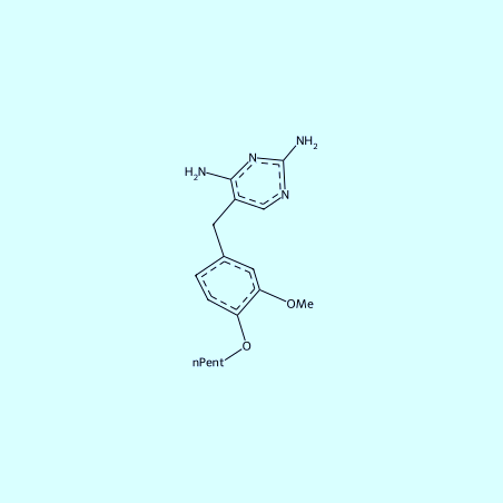 CCCCCOc1ccc(Cc2cnc(N)nc2N)cc1OC